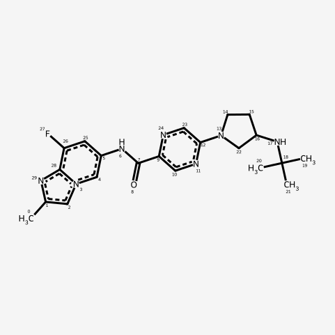 Cc1cn2cc(NC(=O)c3cnc(N4CCC(NC(C)(C)C)C4)cn3)cc(F)c2n1